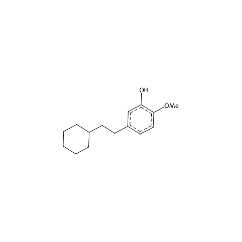 COc1ccc(CCC2CCCCC2)cc1O